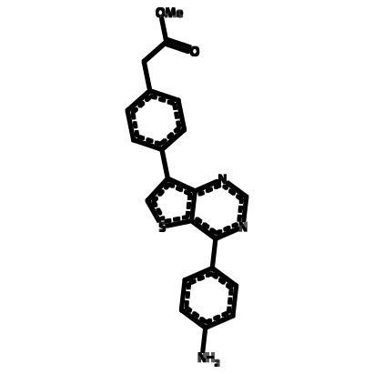 COC(=O)Cc1ccc(-c2csc3c(-c4ccc(N)cc4)ncnc23)cc1